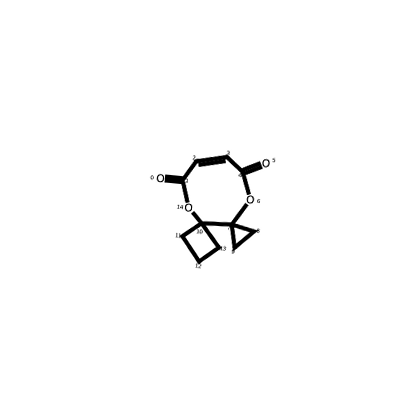 O=C1/C=C\C(=O)OC2(CC2)C2(CCC2)O1